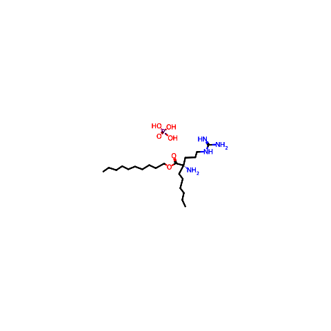 CCCCCCCCCCOC(=O)[C@](N)(CCCCCC)CCCNC(=N)N.O=P(O)(O)O